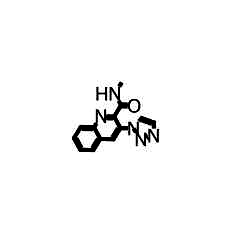 CNC(=O)c1nc2ccccc2cc1-n1ccnn1